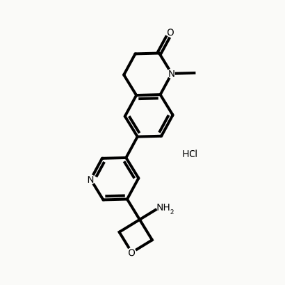 CN1C(=O)CCc2cc(-c3cncc(C4(N)COC4)c3)ccc21.Cl